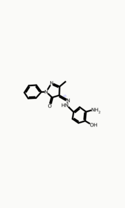 CC1=NN(c2ccccc2)C(=O)/C1=N\Nc1ccc(O)c(N)c1